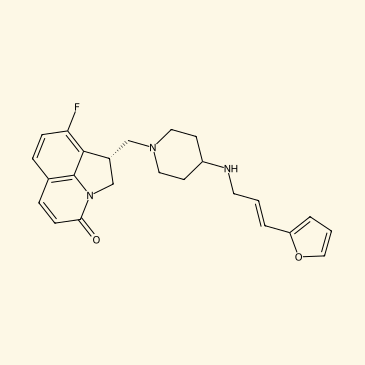 O=c1ccc2ccc(F)c3c2n1C[C@H]3CN1CCC(NCC=Cc2ccco2)CC1